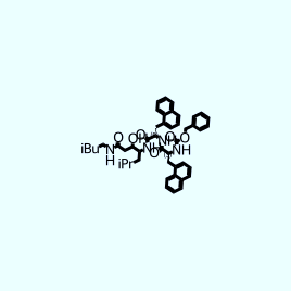 CCC(C)CNC(=O)CC(O)C(CC(C)C)NC(=O)[C@H](Cc1cccc2ccccc12)NC(=O)[C@H](Cc1cccc2ccccc12)NC(=O)OCc1ccccc1